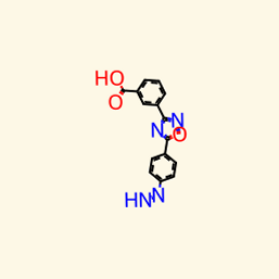 N=Nc1ccc(-c2nc(-c3cccc(C(=O)O)c3)no2)cc1